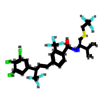 CC(C)[C@H](CSCC(F)(F)F)NC(=O)c1ccc(/C=C/C(c2cc(Cl)c(Cl)c(Cl)c2)C(F)(F)F)cc1C(F)(F)F